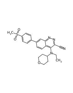 CCN(c1c(C#N)nnc2cc(-c3ccc(S(C)(=O)=O)cc3)ccc12)C1CCOCC1